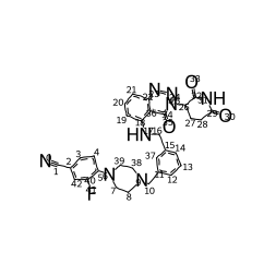 N#Cc1ccc(N2CCN(Cc3cccc(CNc4cccc5nnn(C6CCC(=O)NC6=O)c(=O)c45)c3)CC2)c(F)c1